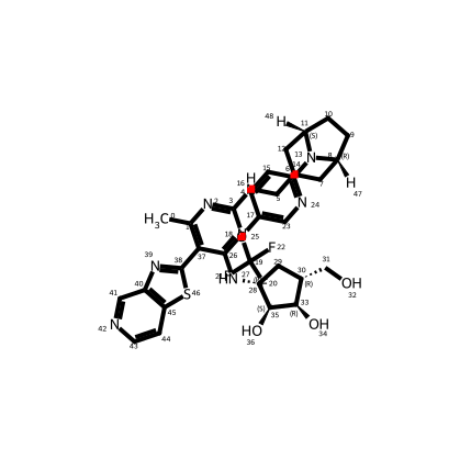 Cc1nc(NCC2C[C@H]3CC[C@@H](C2)N3c2ccc(OC(F)(F)F)cn2)nc(N[C@@H]2C[C@H](CO)[C@@H](O)[C@H]2O)c1-c1nc2cnccc2s1